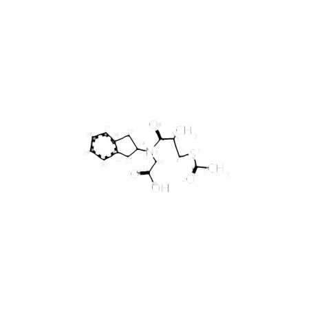 CC(=O)SCC(C)C(=O)N(CC(=O)O)C1Cc2ccccc2C1